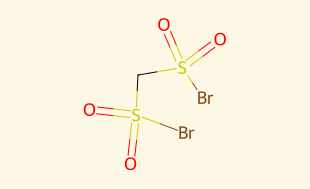 O=S(=O)(Br)CS(=O)(=O)Br